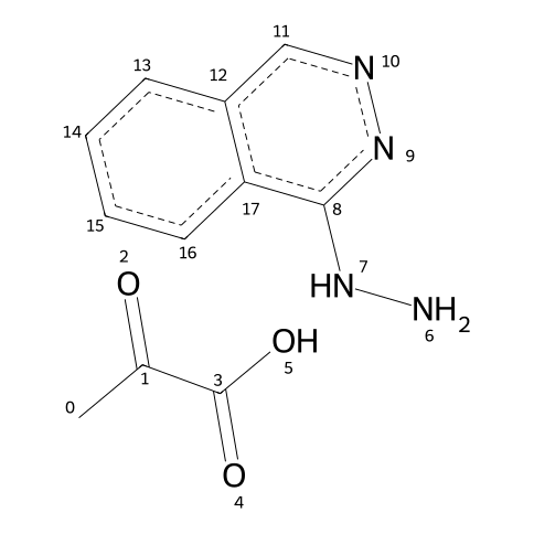 CC(=O)C(=O)O.NNc1nncc2ccccc12